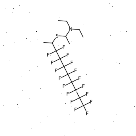 CCN(CC)C(C)SC(C)C(F)(F)C(F)(F)C(F)(F)C(F)(F)C(F)(F)C(F)(F)C(F)(F)C(F)(F)F